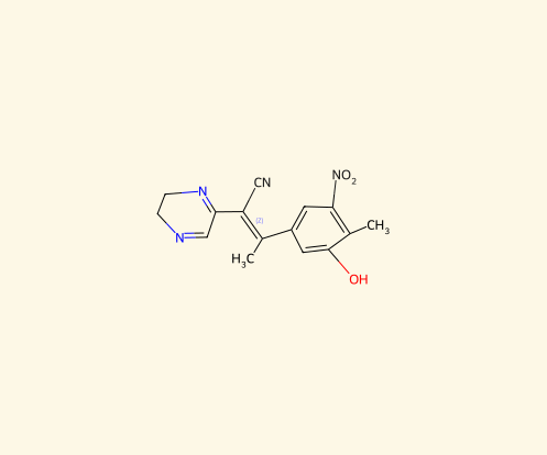 C/C(=C(/C#N)C1=NCCN=C1)c1cc(O)c(C)c([N+](=O)[O-])c1